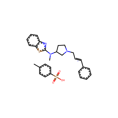 CN(c1nc2ccccc2s1)C1CCN(C/C=C/c2ccccc2)C1.Cc1ccc(S(=O)(=O)O)cc1